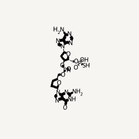 Nc1nc2c(ncn2[C@H]2CC[C@@H](CO[PH](=O)O[C@H]3C[C@H](n4cnc5c(N)ncnc54)O[C@@H]3CO[P@](=O)(O)S)O2)c(=O)[nH]1